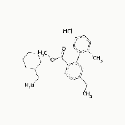 CCc1ccc(C(=O)OC)c(-c2ccccc2C)c1.Cl.NCC1CCCCC1